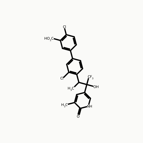 Cc1cc(C(O)(C(C)c2ccc(-c3ccc(Cl)c(C(=O)O)c3)cc2Cl)C(F)(F)F)c[nH]c1=O